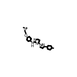 Cc1ccc(-c2ccn(-c3ccnc(Nc4ccc(OCCN(C)C)cc4)n3)n2)cc1